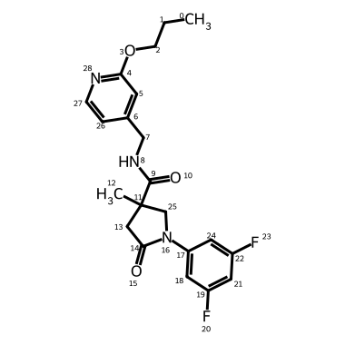 CCCOc1cc(CNC(=O)C2(C)CC(=O)N(c3cc(F)cc(F)c3)C2)ccn1